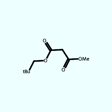 COC(=O)CC(=O)OCC(C)(C)C